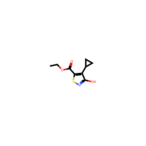 CCOC(=O)c1snc(O)c1C1CC1